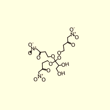 O=C(CCOOC(OCCC(=O)C[N+](=O)[O-])(OCCC(=O)C[N+](=O)[O-])C(O)CO)C[N+](=O)[O-]